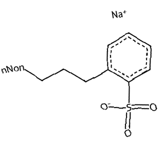 CCCCCCCCCCCCc1ccccc1S(=O)(=O)[O-].[Na+]